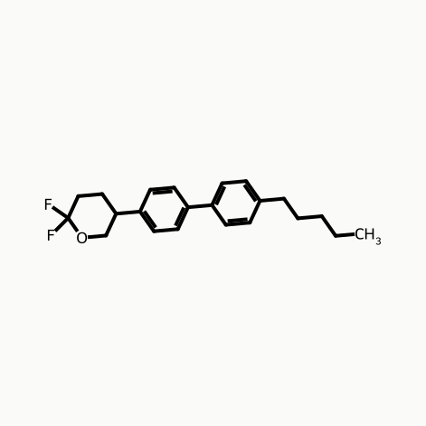 CCCCCc1ccc(-c2ccc(C3CCC(F)(F)OC3)cc2)cc1